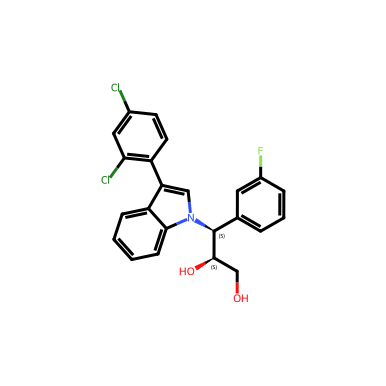 OC[C@@H](O)[C@H](c1cccc(F)c1)n1cc(-c2ccc(Cl)cc2Cl)c2ccccc21